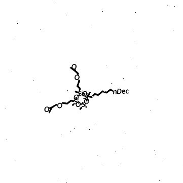 CCCCCCCCCCCCCCCC[Si]1(C)O[Si](C)(C)O[Si](C)(CCCOCC2CO2)O[Si](C)(CCCOCC2CO2)O1